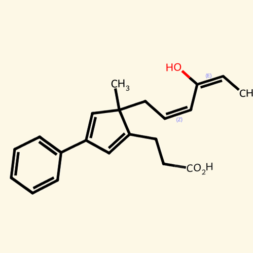 C/C=C(O)\C=C/CC1(C)C=C(c2ccccc2)C=C1CCC(=O)O